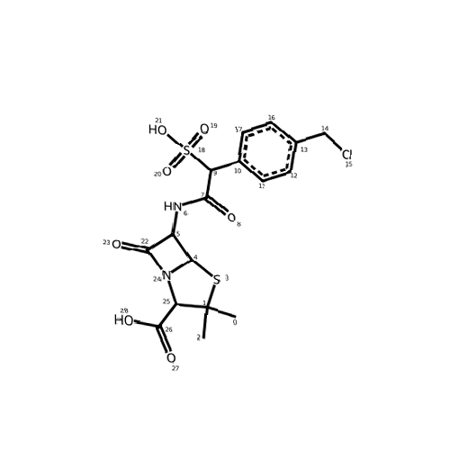 CC1(C)SC2C(NC(=O)C(c3ccc(CCl)cc3)S(=O)(=O)O)C(=O)N2C1C(=O)O